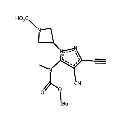 C#Cc1nn(C2CN(C(=O)O)C2)c(N(C)C(=O)OC(C)(C)C)c1C#N